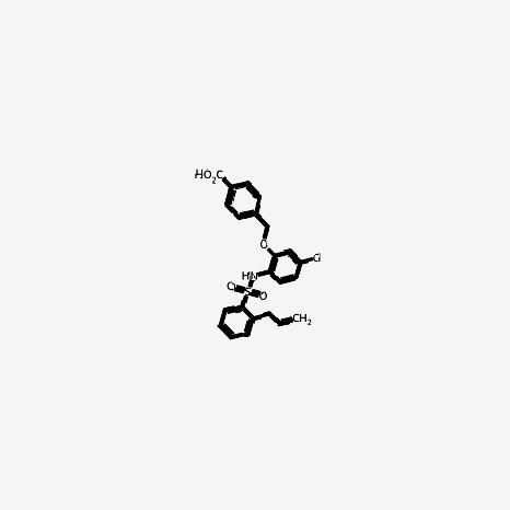 C=CCc1ccccc1S(=O)(=O)Nc1ccc(Cl)cc1OCc1ccc(C(=O)O)cc1